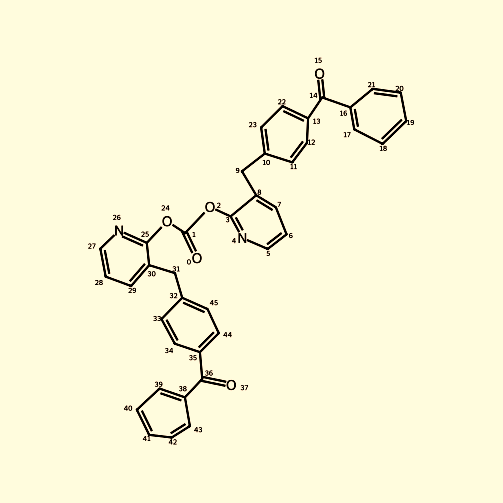 O=C(Oc1ncccc1Cc1ccc(C(=O)c2ccccc2)cc1)Oc1ncccc1Cc1ccc(C(=O)c2ccccc2)cc1